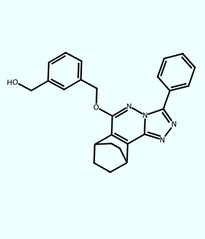 OCc1cccc(COc2nn3c(-c4ccccc4)nnc3c3c2C2CCC3CC2)c1